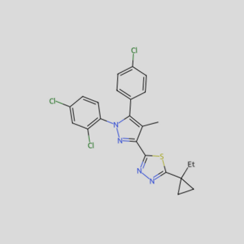 CCC1(c2nnc(-c3nn(-c4ccc(Cl)cc4Cl)c(-c4ccc(Cl)cc4)c3C)s2)CC1